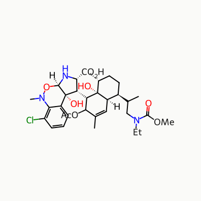 CCN(CC(C)[C@@H]1CC[C@@H](C)[C@]2(O)C([C@H]3[C@@H](C(=O)O)N[C@@H]4ON(C)c5c(Cl)cccc5[C@@]43O)C(OC(C)=O)C(C)=C[C@H]12)C(=O)OC